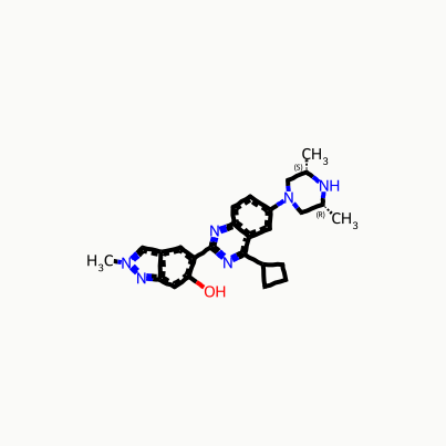 C[C@@H]1CN(c2ccc3nc(-c4cc5cn(C)nc5cc4O)nc(C4CCC4)c3c2)C[C@H](C)N1